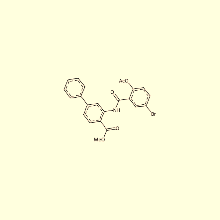 COC(=O)c1ccc(-c2ccccc2)cc1NC(=O)c1cc(Br)ccc1OC(C)=O